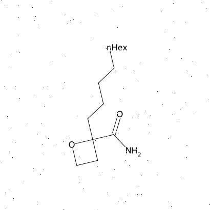 CCCCCCCCCCC1(C(N)=O)CCO1